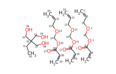 C=CCOCOC(=O)C=C.C=CCOCOC(=O)C=C.C=CCOCOC(=O)C=C.CCC(CO)(CO)CO